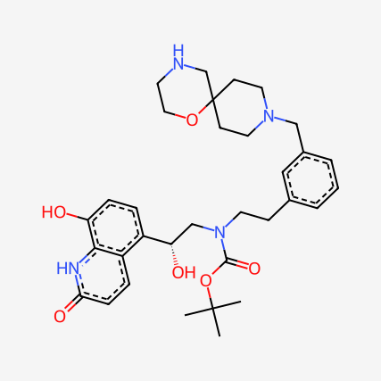 CC(C)(C)OC(=O)N(CCc1cccc(CN2CCC3(CC2)CNCCO3)c1)C[C@H](O)c1ccc(O)c2[nH]c(=O)ccc12